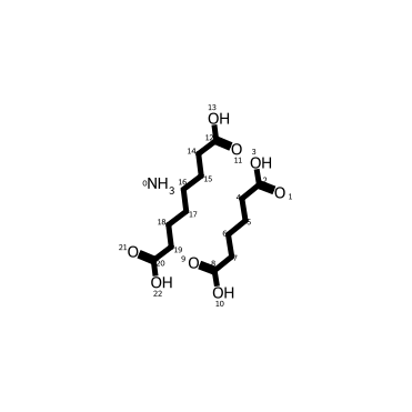 N.O=C(O)CCCCC(=O)O.O=C(O)CCCCCCC(=O)O